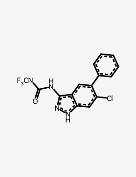 O=C(Nc1n[nH]c2cc(Cl)c(-c3ccccc3)cc12)NC(F)(F)F